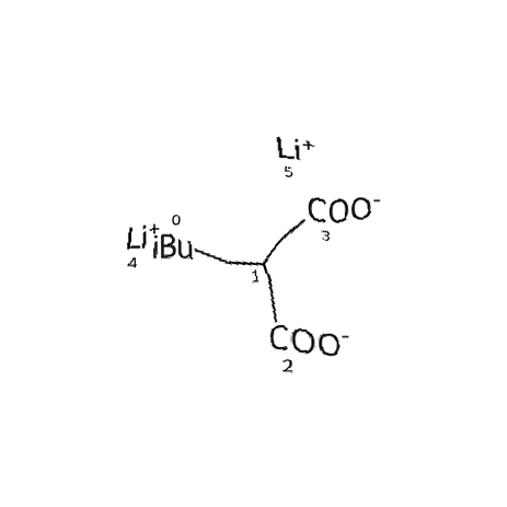 CCC(C)C(C(=O)[O-])C(=O)[O-].[Li+].[Li+]